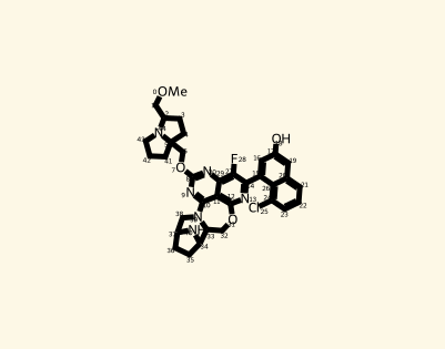 COCC1CCC2(COc3nc4c5c(nc(-c6cc(O)cc7cccc(Cl)c67)c(F)c5n3)OCC3C5CCC(CN43)N5)CCCN12